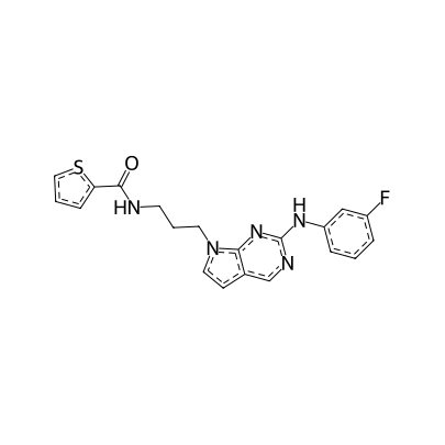 O=C(NCCCn1ccc2cnc(Nc3cccc(F)c3)nc21)c1cccs1